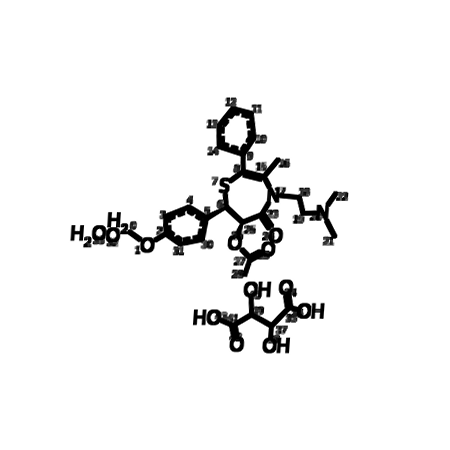 COc1ccc([C@H]2SC(c3ccccc3)=C(C)N(CCN(C)C)C(=O)[C@H]2OC(C)=O)cc1.O.O.O=C(O)C(O)C(O)C(=O)O